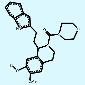 CCOc1cc2c(cc1OC)CCN(C(=O)N1CCOCC1)C2CCc1cc2ccccc2[nH]1